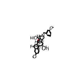 COc1cccc(CN2C[C@@H]3C[C@H]4[C@@H]5C[C@H](F)C6=CC(=O)C=C[C@]6(C)[C@@]5(F)[C@@H](O)C[C@]4(C)[C@]3(C(=O)CO)C2)c1